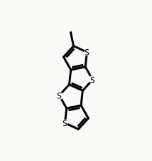 Cc1cc2c(s1)sc1c3ccsc3sc21